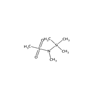 CN([Si](C)(C)C)S(C)(=O)=O